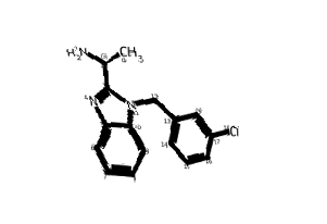 C[C@H](N)c1nc2ccccc2n1Cc1cccc(Cl)c1